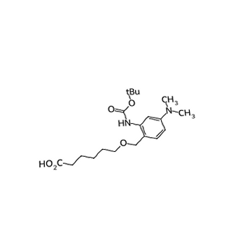 CN(C)c1ccc(COCCCCCC(=O)O)c(NC(=O)OC(C)(C)C)c1